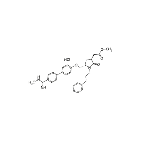 CNC(=N)c1ccc(-c2ccc(OC[C@@H]3C[C@@H](CC(=O)OC)C(=O)N3CCCc3ccccc3)cc2)cc1.Cl